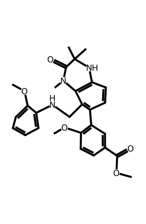 COC(=O)c1ccc(OC)c(-c2ccc3c(c2CNc2ccccc2OC)N(C)C(=O)C(C)(C)N3)c1